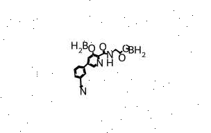 BOC(=O)CNC(=O)c1ncc(-c2cccc(C#N)c2)cc1OB